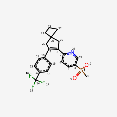 CS(=O)(=O)c1ccc(C2=C(c3ccc(C(F)(F)F)cc3)CC3(CCC3)C2)nc1